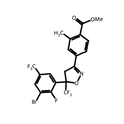 COC(=O)c1ccc(C2=NOC(c3cc(C(F)(F)F)cc(Br)c3F)(C(F)(F)F)C2)cc1C